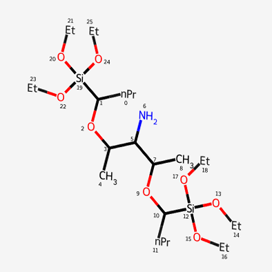 CCCC(OC(C)C(N)C(C)OC(CCC)[Si](OCC)(OCC)OCC)[Si](OCC)(OCC)OCC